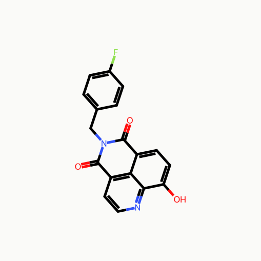 O=C1c2ccnc3c(O)ccc(c23)C(=O)N1Cc1ccc(F)cc1